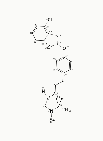 CC(=O)N1C[C@@H]2C[C@H]1CN2CCc1ccc(Oc2nc3c(Cl)cccc3s2)cc1